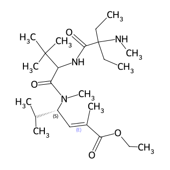 CCOC(=O)/C(C)=C/[C@H](C(C)C)N(C)C(=O)C(NC(=O)C(CC)(CC)NC)C(C)(C)C